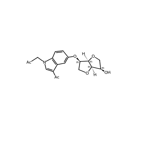 CC(=O)Cn1cc(C(C)=O)c2cc(O[C@@H]3CO[C@H]4[C@@H]3OC[C@H]4O)ccc21